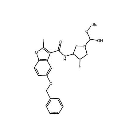 Cc1oc2ccc(OCc3ccccc3)cc2c1C(=O)NC1CN(C(O)OC(C)(C)C)CC1F